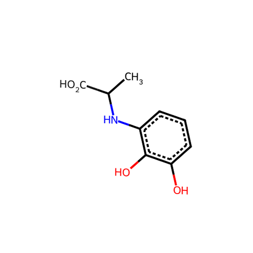 CC(Nc1cccc(O)c1O)C(=O)O